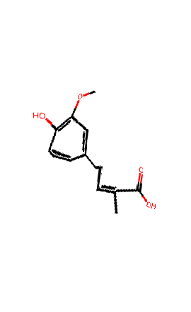 COc1cc(CC=C(C)C(=O)O)ccc1O